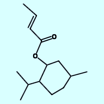 CC=CC(=O)OC1CC(C)CCC1C(C)C